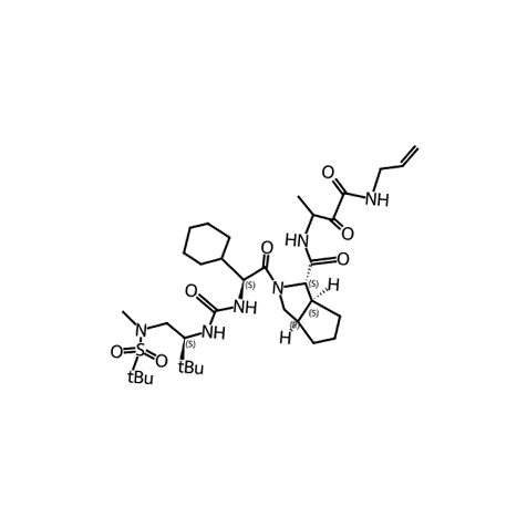 C=CCNC(=O)C(=O)C(C)NC(=O)[C@@H]1[C@H]2CCC[C@H]2CN1C(=O)[C@@H](NC(=O)N[C@H](CN(C)S(=O)(=O)C(C)(C)C)C(C)(C)C)C1CCCCC1